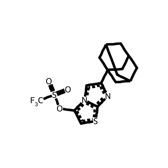 O=S(=O)(Oc1csc2nc(C34CC5CC(CC(C5)C3)C4)cn12)C(F)(F)F